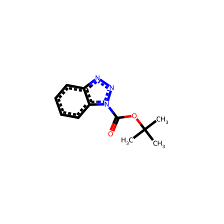 CC(C)(C)OC(=O)n1nnc2ccccc21